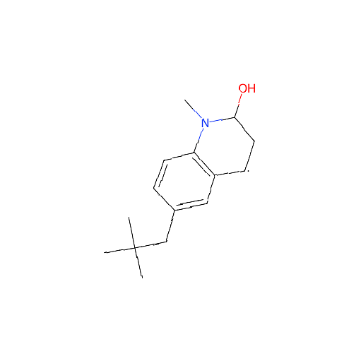 CN1c2ccc(CC(C)(C)C)cc2[CH]CC1O